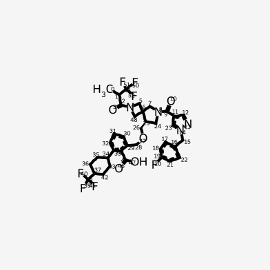 CC(C(=O)N1CC2(CN(C(=O)c3cnn(Cc4ccc(F)cc4)c3)C[C@H]2COCc2cccc(C3CCC(C(F)(F)F)CC3)c2C(=O)O)C1)C(F)(F)F